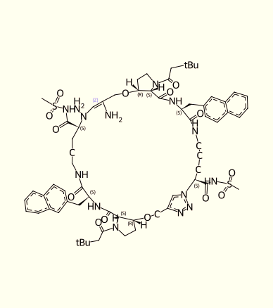 CC(C)(C)CC(=O)N1CC[C@H]2OC/C(N)=C/N(N)[C@H](C(=O)NS(C)(=O)=O)CCCNC(=O)[C@H](Cc3ccc4ccccc4c3)NC(=O)[C@@H]3[C@@H](CCN3C(=O)CC(C)(C)C)OCc3cn(nn3)[C@H](C(=O)NS(C)(=O)=O)CCCNC(=O)[C@H](Cc3ccc4ccccc4c3)NC(=O)[C@H]21